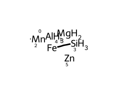 [AlH3].[MgH2].[Mn].[SiH3][Fe].[Zn]